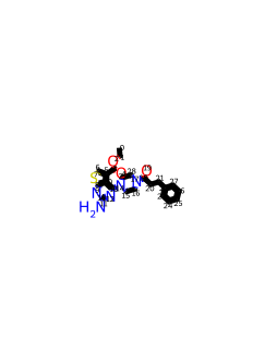 CCOC(=O)c1csc2nc(N)nc(N3CCN(C(=O)CCc4ccccc4)CC3)c12